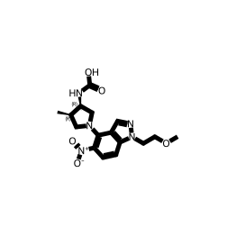 COCCn1ncc2c(N3C[C@@H](C)[C@@H](NC(=O)O)C3)c([N+](=O)[O-])ccc21